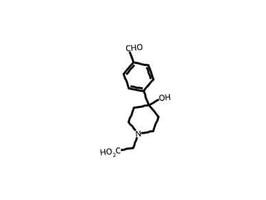 O=Cc1ccc(C2(O)CCN(CC(=O)O)CC2)cc1